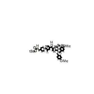 CCCCOc1nc(N(Cc2ccc(OC)cc2)Cc2ccc(OC)cc2)c2ncc(C(O)c3cnc(N4CCC(CNC(=O)OC(C)(C)C)CC4)c(C)c3)n2n1